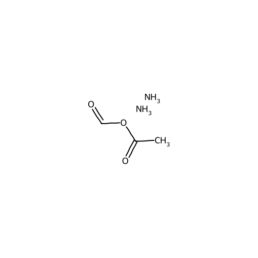 CC(=O)OC=O.N.N